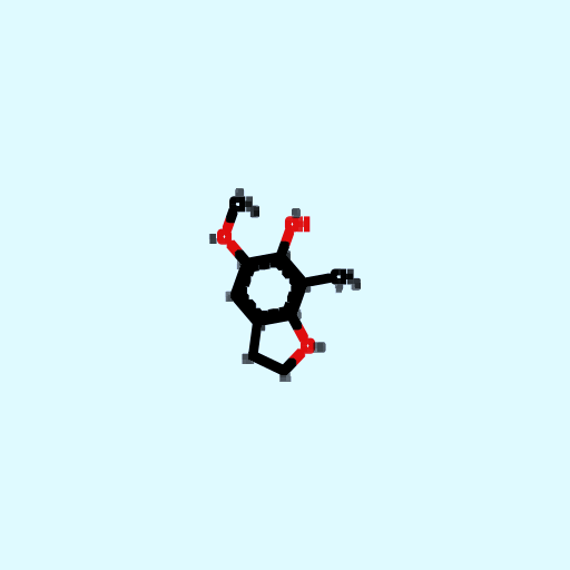 COc1cc2c(c(C)c1O)OCC2